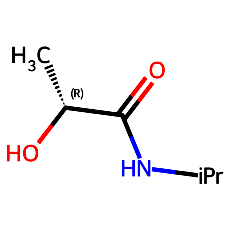 CC(C)NC(=O)[C@@H](C)O